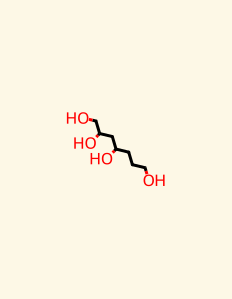 OCCCC(O)CC(O)CO